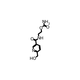 NC(=O)OCCNC(=O)c1ccc(CO)nc1